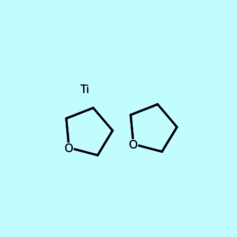 C1CCOC1.C1CCOC1.[Ti]